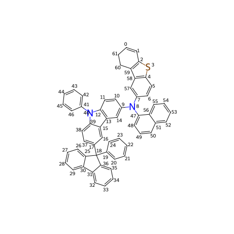 C1=Cc2sc3ccc(N(c4ccc5c(c4)c4cc(C6(c7ccccc7)c7ccccc7-c7ccccc76)ccc4n5-c4ccccc4)c4cccc5ccccc45)cc3c2CC1